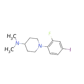 CN(C)C1CCN(c2ccc(I)cc2F)CC1